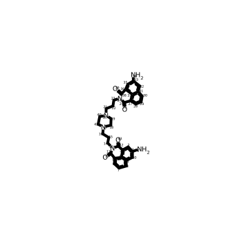 Nc1cc2c3c(cccc3c1)C(=O)N(CCCN1CCN(CCCN3C(=O)c4cccc5cc(N)cc(c45)C3=O)CC1)C2=O